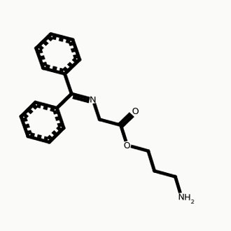 NCCCOC(=O)CN=C(c1ccccc1)c1ccccc1